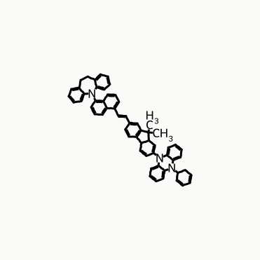 CC1(C)c2cc(/C=C/c3cccc4c(N5c6ccccc6CCc6ccccc65)cccc34)ccc2C2C=CC(N3c4ccccc4N(C4C=CC=CC4)c4ccccc43)=CC21